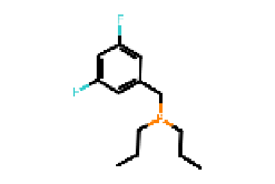 CCCP(CCC)Cc1cc(F)cc(F)c1